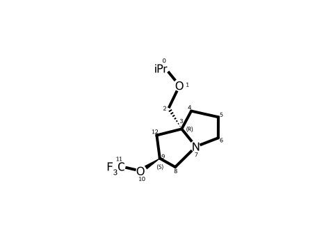 CC(C)OC[C@]12CCCN1C[C@@H](OC(F)(F)F)C2